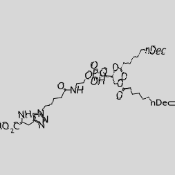 CCCCCCCCCCCCCCCC(=O)OCC(COP(=O)(O)OCCNC(=O)CCCCn1cc(CC(N)C(=O)O)nn1)OC(=O)CCCCCCCCCCCCCCC